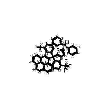 O=P(c1ccccc1)(c1ccccc1)c1ccc(C(c2cccc(C(F)(F)F)c2)(c2cccc(C(F)(F)F)c2)c2cc3cccc4ccc5cccc2c5c43)s1